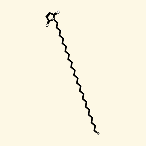 O=C1C=CC(=O)N1CCCCCCCCCCCCCCCCCCCCCCCCCCCC[S]